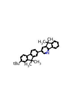 CC(C)(C)c1ccc2c(c1)C(C)(C)c1cc(-c3cnc4c(c3)C(C)(C)c3ccccc3-4)ccc1-2